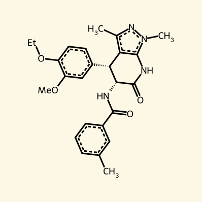 CCOc1ccc([C@@H]2c3c(C)nn(C)c3NC(=O)[C@@H]2NC(=O)c2cccc(C)c2)cc1OC